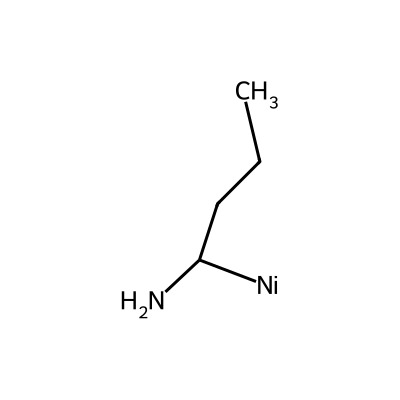 CCC[CH](N)[Ni]